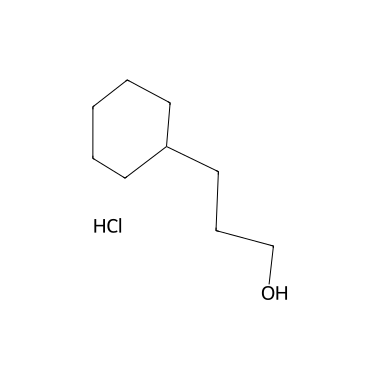 Cl.OCCCC1CCCCC1